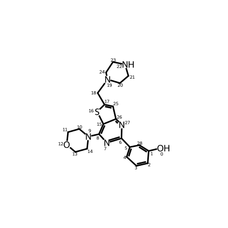 Oc1cccc(-c2nc(N3CCOCC3)c3sc(CN4CCNCC4)cc3n2)c1